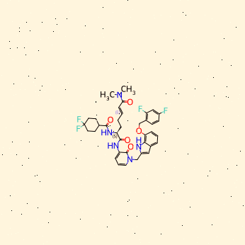 CN(C)C(=O)/C=C/CC[C@H](NC(=O)C1CCC(F)(F)CC1)C(=O)Nc1cccn(Cc2cc3cccc(OCc4ccc(F)cc4F)c3[nH]2)c1=O